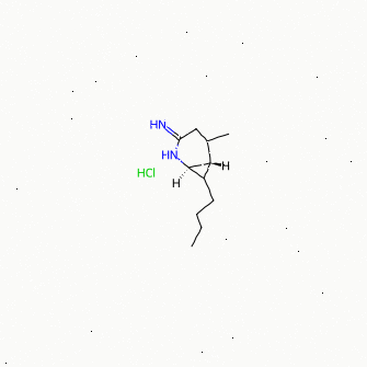 CCCCC1[C@H]2C(C)CC(=N)N[C@H]12.Cl